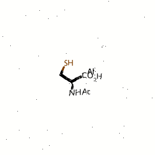 CC(=O)N[C@@H](CS)C(=O)O.[Al]